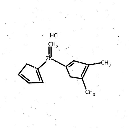 Cl.[CH2]=[Zr]([C]1=CC=CC1)[C]1=CC(C)=C(C)C1